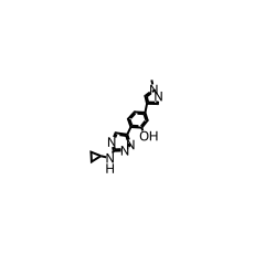 Cn1cc(-c2ccc(-c3cnc(NC4CC4)nn3)c(O)c2)cn1